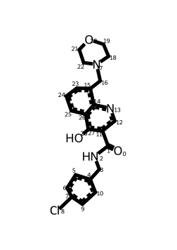 O=C(NCc1ccc(Cl)cc1)c1cnc2c(CN3CCOCC3)cccc2c1O